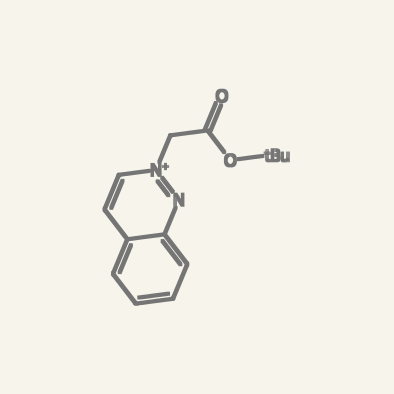 CC(C)(C)OC(=O)C[n+]1ccc2ccccc2n1